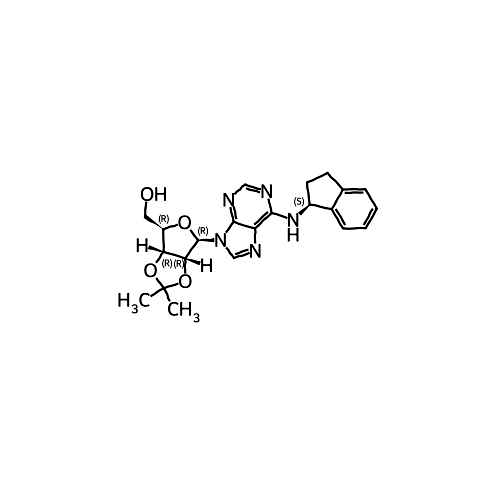 CC1(C)O[C@@H]2[C@H](O1)[C@@H](CO)O[C@H]2n1cnc2c(N[C@H]3CCc4ccccc43)ncnc21